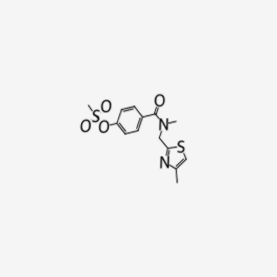 Cc1csc(CN(C)C(=O)c2ccc(OS(C)(=O)=O)cc2)n1